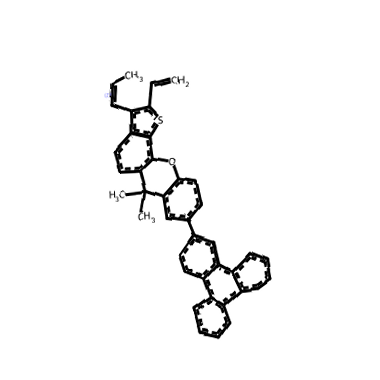 C=Cc1sc2c3c(ccc2c1/C=C\C)C(C)(C)c1cc(-c2ccc4c5ccccc5c5ccccc5c4c2)ccc1O3